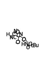 Cc1nccc2nc(-c3ccc(CNC(=O)OC(C)(C)C)cc3)c(-c3ccccc3)c(C#N)c12